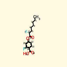 CCCCCC[C@H](F)C(=O)Oc1ccc(C(=O)O)c(F)c1